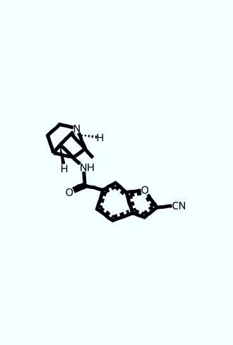 C[C@H]1[C@H](NC(=O)c2ccc3cc(C#N)oc3c2)C2CCN1CC2